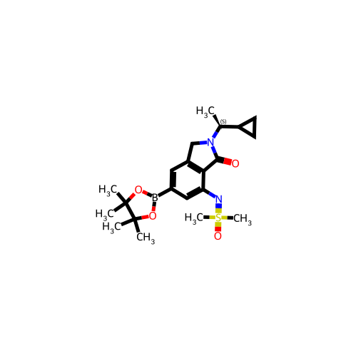 C[C@@H](C1CC1)N1Cc2cc(B3OC(C)(C)C(C)(C)O3)cc(N=S(C)(C)=O)c2C1=O